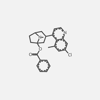 Cc1cc(Cl)cc2nccc(C3CC4CCC(OC(=O)c5ccccc5)(C3)N4C)c12